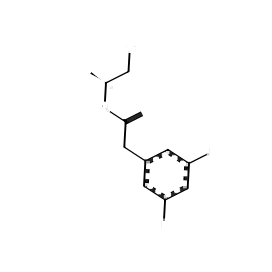 O=C(Cc1cc(F)cc(F)c1)N[C@H](CO)C(=O)O